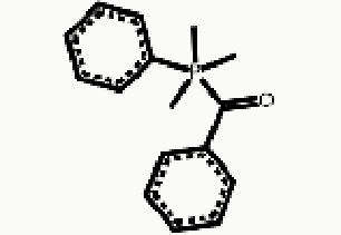 CP(C)(C)(C(=O)c1ccccc1)c1ccccc1